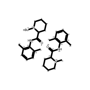 CCCCN1CCCCC1C(=O)Nc1c(C)cccc1C.Cc1cccc(C)c1NC(=O)C1CCCCN1C